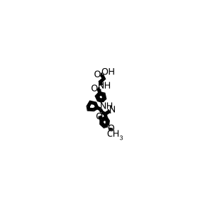 COc1ccc2c(c1)C(C#N)C(C(Nc1ccc(C(=O)NCCC(=O)O)cc1)C1CCCCC1)O2